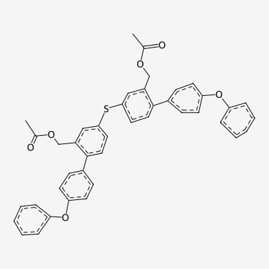 CC(=O)OCc1cc(Sc2ccc(-c3ccc(Oc4ccccc4)cc3)c(COC(C)=O)c2)ccc1-c1ccc(Oc2ccccc2)cc1